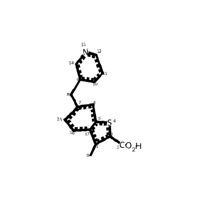 Cc1c(C(=O)O)sc2cc(Cc3cccnc3)ccc12